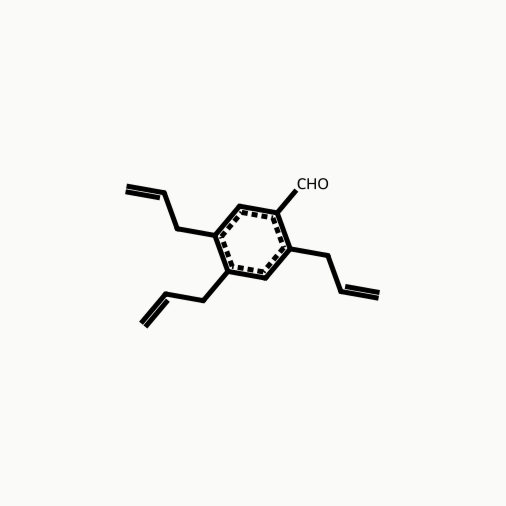 C=CCc1cc(CC=C)c(CC=C)cc1C=O